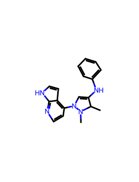 CC1C(Nc2ccccc2)=CN(c2ccnc3[nH]ccc23)N1C